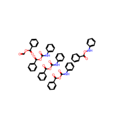 O=C(Nc1ccccc1)OC(=O)c1ccccc1.O=C(Nc1ccccc1)OC(=O)c1ccccc1.O=C(Nc1ccccc1)OC(=O)c1ccccc1.O=C(ONc1ccccc1)c1ccccc1.O=COC(=O)c1ccccc1